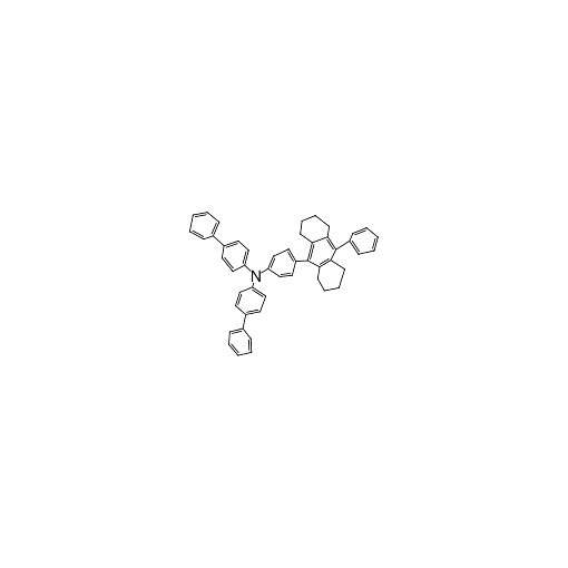 c1ccc(-c2ccc(N(c3ccc(-c4ccccc4)cc3)c3ccc(-c4c5c(c(-c6ccccc6)c6c4CCCC6)CCCC5)cc3)cc2)cc1